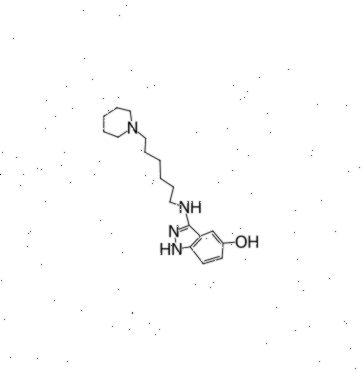 Oc1ccc2[nH]nc(NCCCCCCN3CCCCC3)c2c1